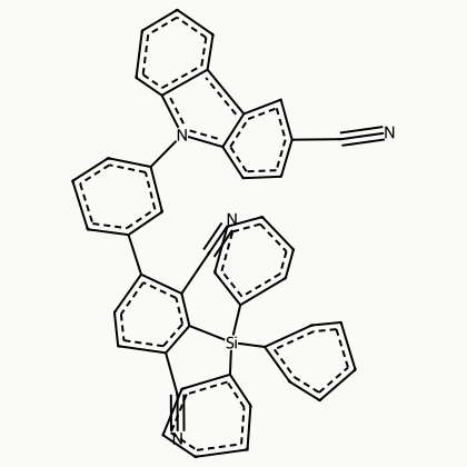 N#Cc1ccc2c(c1)c1ccccc1n2-c1cccc(-c2ccc(C#N)c([Si](c3ccccc3)(c3ccccc3)c3ccccc3)c2C#N)c1